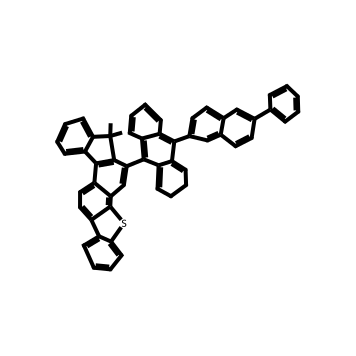 CC1(C)c2ccccc2-c2c1c(-c1c3c(c(-c4ccc5cc(-c6ccccc6)ccc5c4)c4ccccc14)=CCCC=3)cc1c2ccc2c3ccccc3sc12